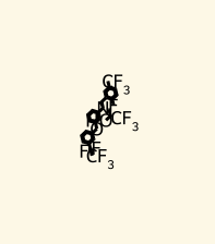 O[C@H](CN(Cc1cc(C(F)(F)F)ccc1F)c1cccc(Oc2cccc(C(F)(F)C(F)(F)F)c2)c1)C(F)(F)F